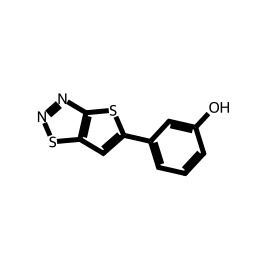 Oc1cccc(-c2cc3snnc3s2)c1